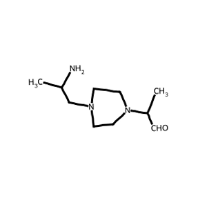 CC(N)CN1CCN(C(C)C=O)CC1